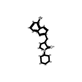 O=C1C(Cc2ccc3c(Br)cccc3c2)CCN1C1CCCCC1